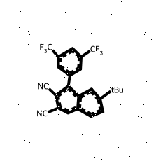 CC(C)(C)c1ccc2cc(C#N)c(C#N)c(-c3cc(C(F)(F)F)cc(C(F)(F)F)c3)c2c1